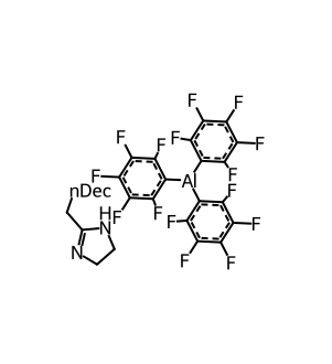 CCCCCCCCCCCC1=NCCN1.Fc1c(F)c(F)[c]([Al]([c]2c(F)c(F)c(F)c(F)c2F)[c]2c(F)c(F)c(F)c(F)c2F)c(F)c1F